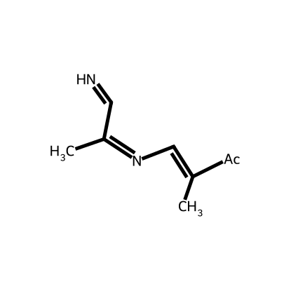 CC(=O)/C(C)=C/N=C(/C)C=N